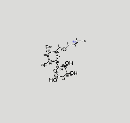 C/C=C/COCc1cc([C@@H]2OC(O)C[C@H](O)[C@H]2O)c(F)cc1F